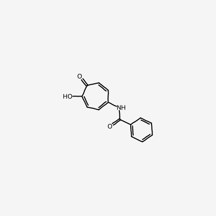 O=C(Nc1ccc(O)c(=O)cc1)c1ccccc1